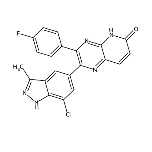 Cc1n[nH]c2c(Cl)cc(-c3nc4ccc(=O)[nH]c4nc3-c3ccc(F)cc3)cc12